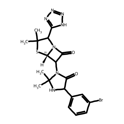 CC1(C)S[C@H]2C(N3C(=O)C(c4cccc(Br)c4)NC3(C)C)C(=O)N2C1c1nnn[nH]1